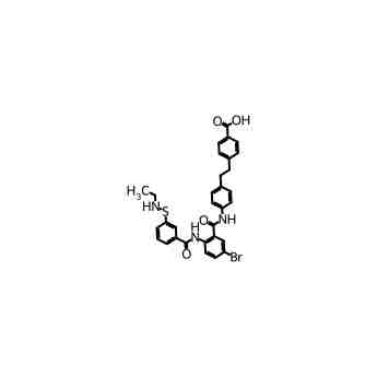 CCNSc1cccc(C(=O)Nc2ccc(Br)cc2C(=O)Nc2ccc(CCc3ccc(C(=O)O)cc3)cc2)c1